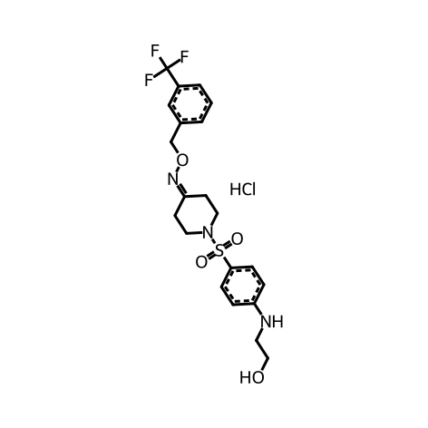 Cl.O=S(=O)(c1ccc(NCCO)cc1)N1CCC(=NOCc2cccc(C(F)(F)F)c2)CC1